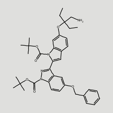 CCC(CC)(CN)Oc1ccc2cc(-c3nn(C(=O)OC(C)(C)C)c4ccc(OCc5ccccc5)cc34)n(C(=O)OC(C)(C)C)c2c1